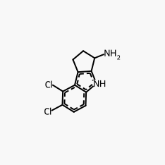 NC1CCc2c1[nH]c1ccc(Cl)c(Cl)c21